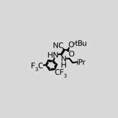 CC(C)CCN/C(Nc1cc(C(F)(F)F)cc(C(F)(F)F)c1)=C(/C#N)C(=O)OC(C)(C)C